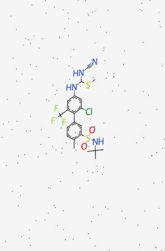 CSC(NC#N)Nc1cc(Cl)c(-c2ccc(C)c(S(=O)(=O)NC(C)(C)C)c2)c(C(F)(F)F)c1